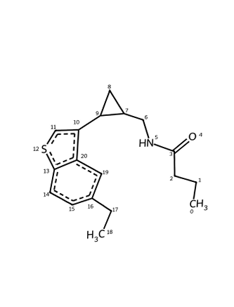 CCCC(=O)NCC1CC1c1csc2ccc(CC)cc12